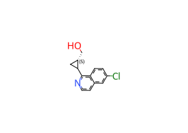 OC[C@H]1CC1c1nccc2cc(Cl)ccc12